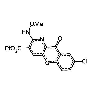 CCOC(=O)c1cc2oc3ccc(Cl)cc3c(=O)c2nc1NOC